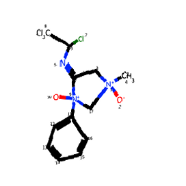 C[N+]1([O-])CC(=NC(Cl)C(Cl)(Cl)Cl)[N+]([O-])(c2ccccc2)C1